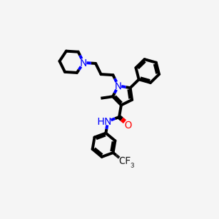 Cc1c(C(=O)Nc2cccc(C(F)(F)F)c2)cc(-c2ccccc2)n1CCCN1CCCCC1